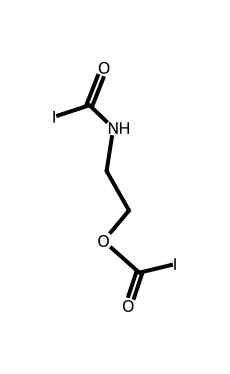 O=C(I)NCCOC(=O)I